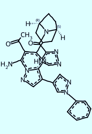 CC(=O)c1c(C2C[C@H]3CC[C@@H](C2)N3C(=O)c2nnc[nH]2)nc2c(-c3cnn(-c4ccccc4)c3)cnn2c1N